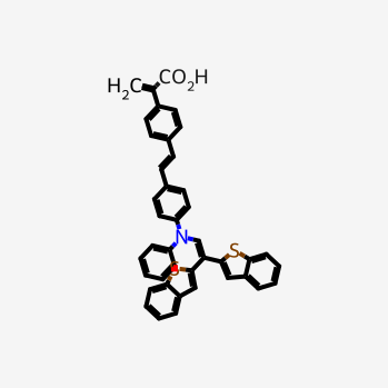 C=C(C(=O)O)c1ccc(C=Cc2ccc(N(C=C(c3cc4ccccc4s3)c3cc4ccccc4s3)c3ccccc3)cc2)cc1